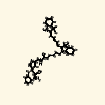 CN1/C(=C/C=C/C=C/C2=[N+](CCCCCC(=O)NCc3cn([C@@H](Cc4ccccc4)C(N)=O)nn3)c3ccccc3C2(C)C)C(C)(C)c2ccccc21